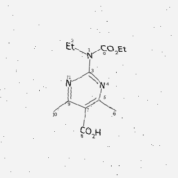 CCOC(=O)N(CC)c1nc(C)c(C(=O)O)c(C)n1